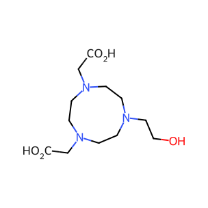 O=C(O)CN1CCN(CCO)CCN(CC(=O)O)CC1